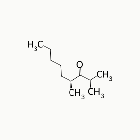 CCCCC[C@H](C)C(=O)C(C)C